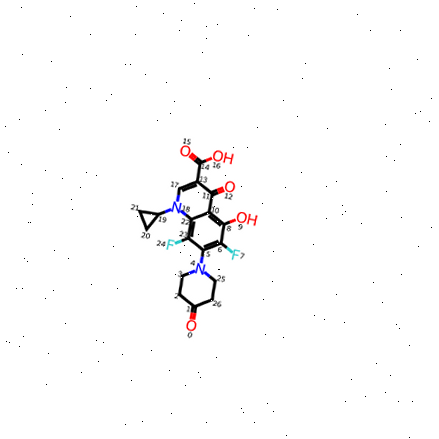 O=C1CCN(c2c(F)c(O)c3c(=O)c(C(=O)O)cn(C4CC4)c3c2F)CC1